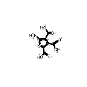 Nc1sc(C(=O)O)c(C(=O)O)c1C(=O)O